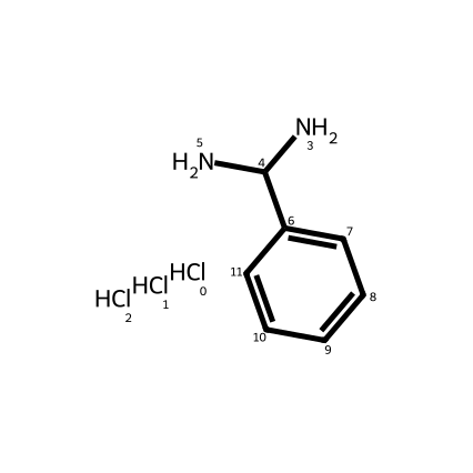 Cl.Cl.Cl.NC(N)c1ccccc1